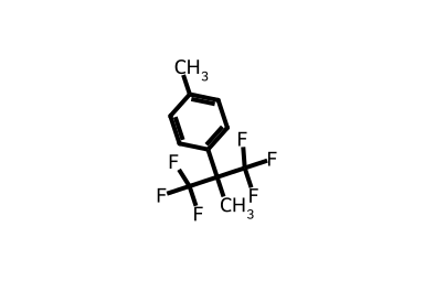 Cc1ccc(C(C)(C(F)(F)F)C(F)(F)F)cc1